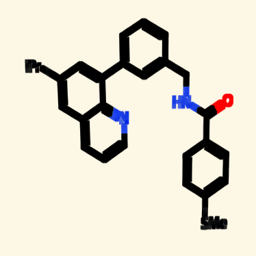 CSc1ccc(C(=O)NCc2cccc(-c3cc(C(C)C)cc4cccnc34)c2)cc1